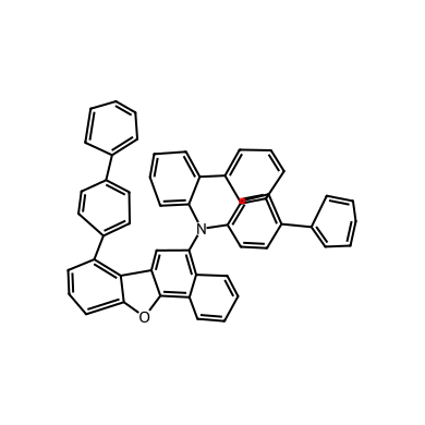 c1ccc(-c2ccc(-c3cccc4oc5c6ccccc6c(N(c6ccc(-c7ccccc7)cc6)c6ccccc6-c6ccccc6)cc5c34)cc2)cc1